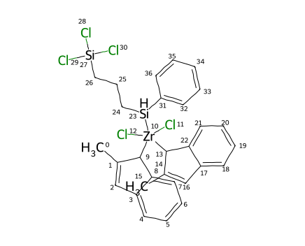 CC1=Cc2ccccc2[CH]1[Zr]([Cl])([Cl])([CH]1C(C)=Cc2ccccc21)[SiH](CCC[Si](Cl)(Cl)Cl)c1ccccc1